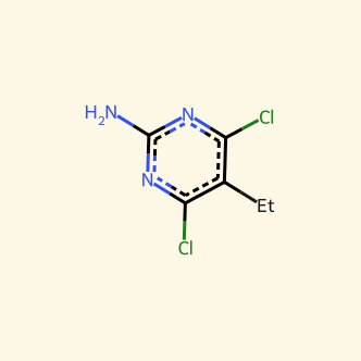 [CH2]Cc1c(Cl)nc(N)nc1Cl